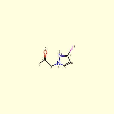 CC(=O)Cn1ccc(I)n1